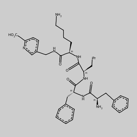 CC(C)C[C@@H](NC(=O)[C@@H](Cc1ccccc1)NC(=O)[C@H](N)Cc1ccccc1)C(=O)N[C@H](CCCCN)C(=O)NCc1ccc(C(=O)O)nc1